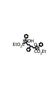 CCOC(=O)C1=NN(c2ccccc2)C(=O)\C1=C/C=C(/C=C/c1c(C(=O)OCC)nn(-c2ccccc2)c1O)C1=CCCC=C1